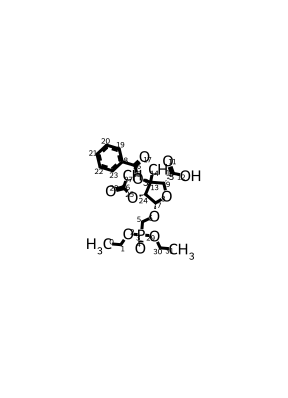 CCOP(=O)(CO[C@H]1O[C@@H](C(=O)O)C(C)(OC(=O)c2ccccc2)[C@H]1OC(C)=O)OCC